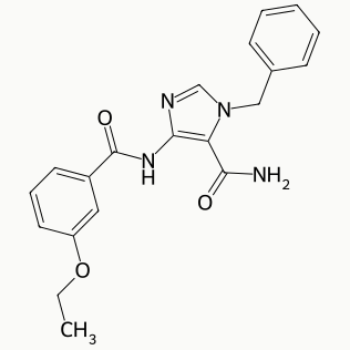 CCOc1cccc(C(=O)Nc2ncn(Cc3ccccc3)c2C(N)=O)c1